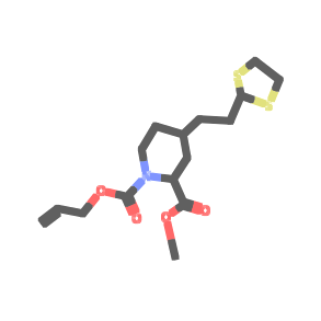 C=CCOC(=O)N1CCC(CCC2SCCS2)CC1C(=O)OC